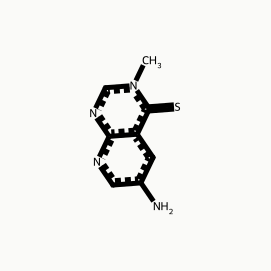 Cn1cnc2ncc(N)cc2c1=S